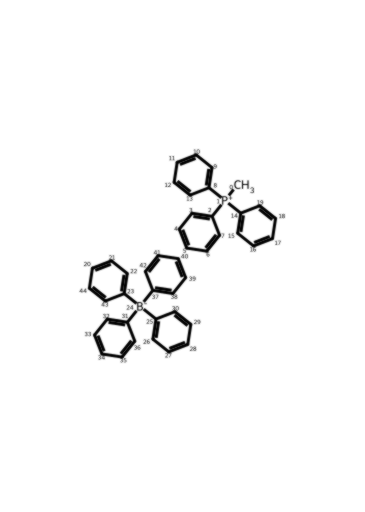 C[P+](c1ccccc1)(c1ccccc1)c1ccccc1.c1ccc([B-](c2ccccc2)(c2ccccc2)c2ccccc2)cc1